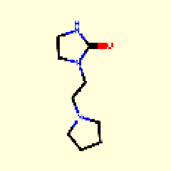 O=C1NCCN1CCN1CCCC1